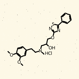 COc1ccc(CCN(C)CC(O)COc2nsc(-c3ccccc3)n2)cc1OC.Cl